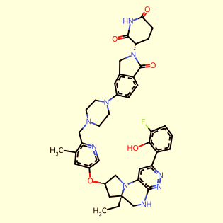 CC[C@]12CNc3nnc(-c4cccc(F)c4O)cc3N1C[C@H](Oc1cnc(CN3CCN(c4ccc5c(c4)CN([C@H]4CCC(=O)NC4=O)C5=O)CC3)c(C)c1)C2